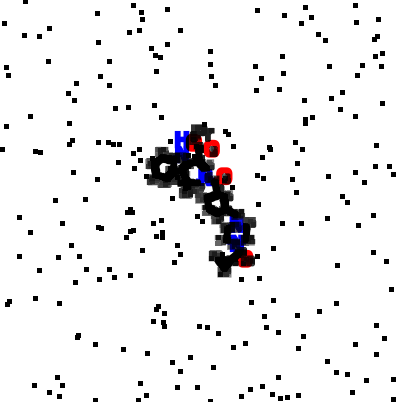 CC(C)OC(=O)C1=CN(C(=O)c2cccc(CN3CCN(C(=O)C4CC4)CC3)c2)CC(C)(C)c2c1[nH]c1ccccc21